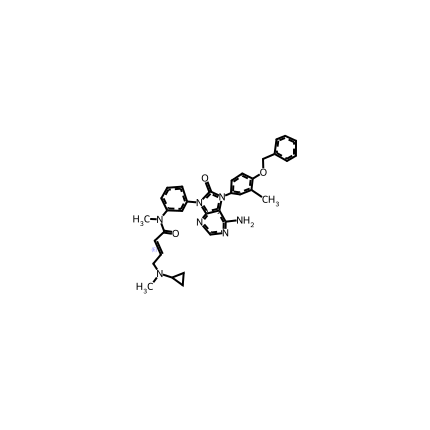 Cc1cc(-n2c(=O)n(-c3cccc(N(C)C(=O)/C=C/CN(C)C4CC4)c3)c3ncnc(N)c32)ccc1OCc1ccccc1